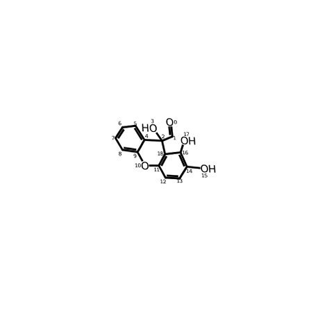 O=CC1(O)c2ccccc2Oc2ccc(O)c(O)c21